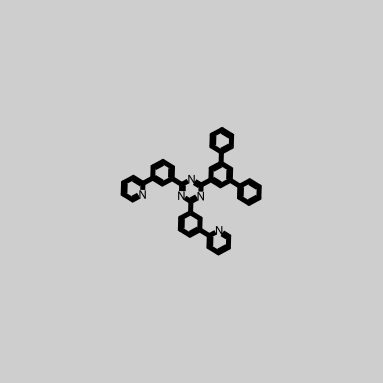 C1=CC(c2nc(-c3cc(-c4ccccc4)cc(-c4ccccc4)c3)nc(-c3cccc(-c4ccccn4)c3)n2)CC(c2ccccn2)=C1